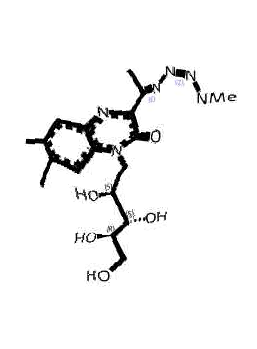 CN/N=N\N=C(/C)c1nc2cc(C)c(C)cc2n(C[C@H](O)[C@H](O)[C@H](O)CO)c1=O